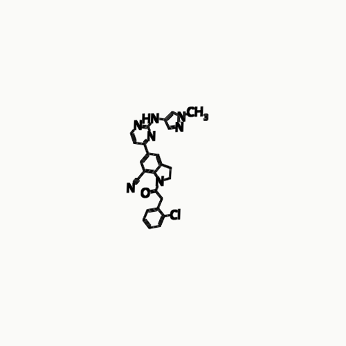 Cn1cc(Nc2nccc(-c3cc(C#N)c4c(c3)CCN4C(=O)Cc3ccccc3Cl)n2)cn1